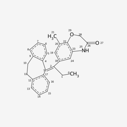 CCC(=C1c2ccccc2CCc2ccccc21)c1cc(C)c2c(c1)NC(=O)CO2